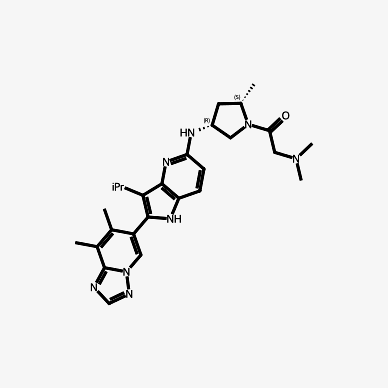 Cc1c(-c2[nH]c3ccc(N[C@@H]4C[C@H](C)N(C(=O)CN(C)C)C4)nc3c2C(C)C)cn2ncnc2c1C